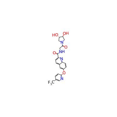 O=C(NCC(=O)N1C[C@H](O)[C@@H](O)C1)c1ccc2cc(Oc3ccc(C(F)(F)F)cn3)ccc2n1